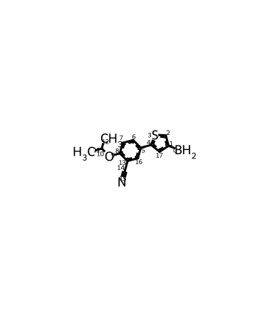 Bc1csc(-c2ccc(OC(C)C)c(C#N)c2)c1